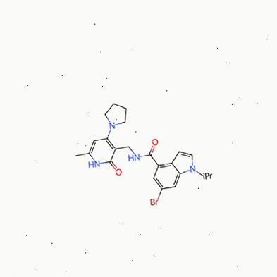 Cc1cc(N2CCCC2)c(CNC(=O)c2cc(Br)cc3c2ccn3C(C)C)c(=O)[nH]1